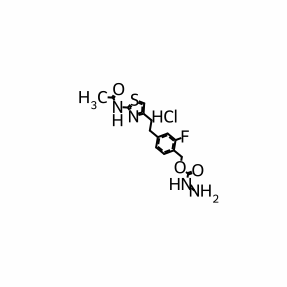 CC(=O)Nc1nc(CCc2ccc(COC(=O)NN)c(F)c2)cs1.Cl